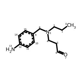 CCCN(CCC=O)Cc1ccc(N)cc1